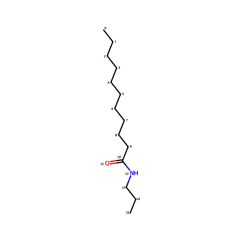 CCCCCCCCCCC(=O)NCCC